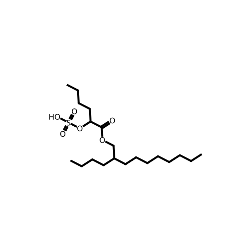 CCCCCCCCC(CCCC)COC(=O)C(CCCC)OS(=O)(=O)O